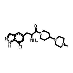 CN1CCN(C2CCN(C(=O)C(N)Cc3cc(Cl)c4[nH]ncc4c3)CC2)CC1